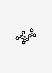 C1=CC(C2=NC(c3ccccc3)=NC(n3c4ccccc4c4ccc(-c5ccc6c(c5)c5ccccc5n6-c5ccccc5)cc43)N2)=CCC1